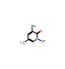 CCCn1cc(C(F)(F)F)cc(C(C)(C)C)c1=O